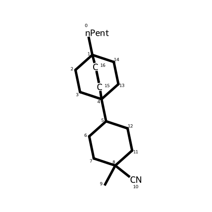 CCCCCC12CCC(C3CCC(C)(C#N)CC3)(CC1)CC2